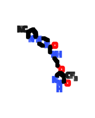 N#Cc1ccc(N2CCN(C(=O)CNCCCOc3cn[nH]c(=O)c3C(F)(F)F)CC2)nc1